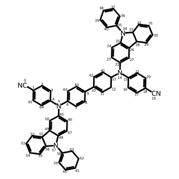 N#Cc1ccc(N(c2ccc(C3=CCC(N(c4ccc(C#N)cc4)c4ccc5c(c4)C4C=CC=CC4N5c4ccccc4)C=C3)cc2)c2ccc3c(c2)c2ccccc2n3C2=CC=CCC2)cc1